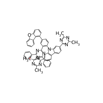 Cc1nc(C)nc(-c2ccc3c4ccc(-c5nc(C)nc(C)n5)cc4n(-c4ccc(-c5cccc6oc7ccccc7c56)cc4-c4nc(-c5ccccc5)nc(-c5ccccc5)n4)c3c2)n1